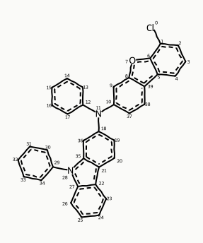 Clc1cccc2c1oc1cc(N(c3ccccc3)c3ccc4c5ccccc5n(-c5ccccc5)c4c3)ccc12